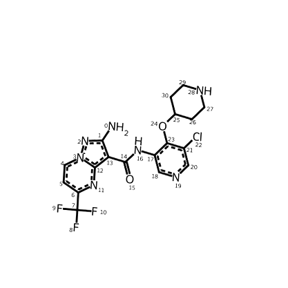 Nc1nn2ccc(C(F)(F)F)nc2c1C(=O)Nc1cncc(Cl)c1OC1CCNCC1